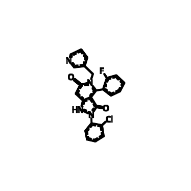 O=c1c2c(-c3ccccc3F)n(Cc3cccnc3)c(=O)cc2[nH]n1-c1ccccc1Cl